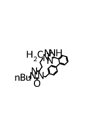 C=CCCc1nn(CCCC)c(=O)n1Cc1ccc(-c2ccccc2-c2nnn[nH]2)cc1